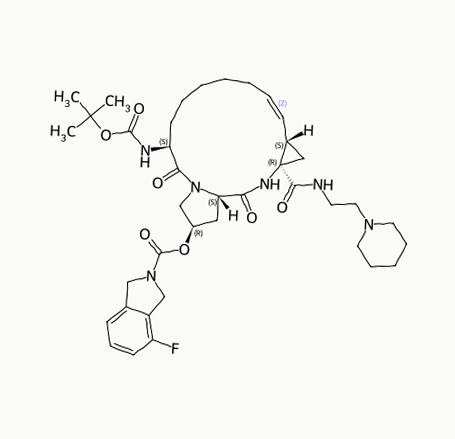 CC(C)(C)OC(=O)N[C@H]1CCCCC/C=C\[C@@H]2C[C@@]2(C(=O)NCCN2CCCCC2)NC(=O)[C@@H]2C[C@@H](OC(=O)N3Cc4cccc(F)c4C3)CN2C1=O